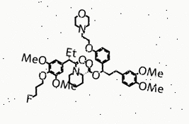 CC[C@H](C(=O)N1CCCC[C@H]1C(=O)O[C@H](CCc1ccc(OC)c(OC)c1)c1cccc(OCCN2CCOCC2)c1)c1cc(OC)c(OCCCF)c(OC)c1